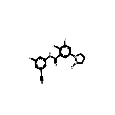 N#Cc1cc(Br)cc(NC(=O)c2cc(N3CCC[S+]3[O-])cc(Cl)c2Cl)c1